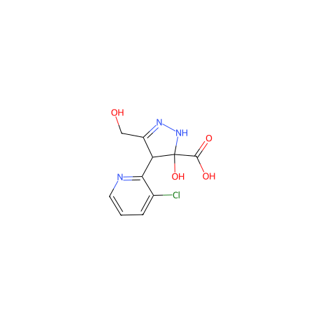 O=C(O)C1(O)NN=C(CO)C1c1ncccc1Cl